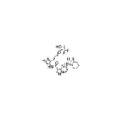 Cn1cc(NC(=O)c2cnn3ccc(N[C@@H]4CCCC[C@@H]4N)nc23)c(CCF)n1.O=C(O)C(F)(F)F